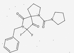 O=C(N1CCCC1)N1CCCC1(C(=O)CCc1ccccc1)C(=O)C(F)(F)F